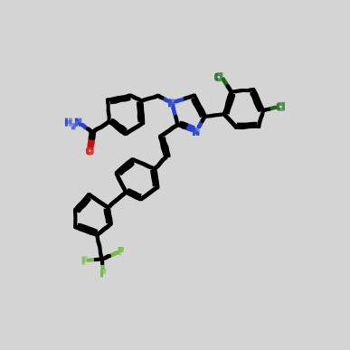 NC(=O)c1ccc(Cn2cc(-c3ccc(Cl)cc3Cl)nc2C=Cc2ccc(-c3cccc(C(F)(F)F)c3)cc2)cc1